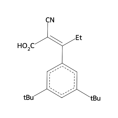 CCC(=C(C#N)C(=O)O)c1cc(C(C)(C)C)cc(C(C)(C)C)c1